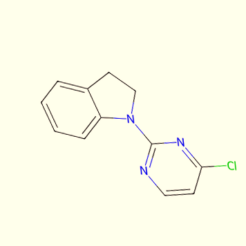 Clc1ccnc(N2CCc3ccccc32)n1